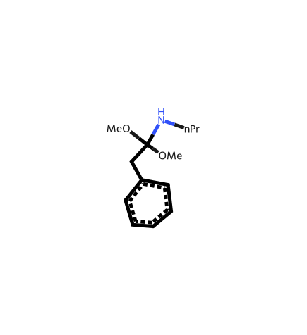 CCCNC(Cc1ccccc1)(OC)OC